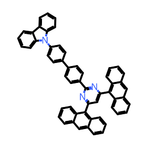 c1ccc2c(-c3cc(-c4c5ccccc5cc5ccccc45)nc(-c4ccc(-c5ccc(-n6c7ccccc7c7ccccc76)cc5)cc4)n3)c3ccccc3cc2c1